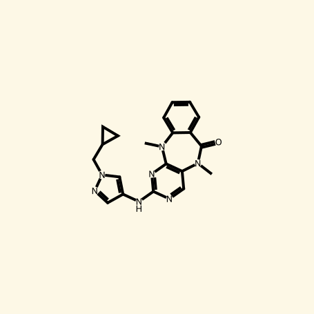 CN1C(=O)c2ccccc2N(C)c2nc(Nc3cnn(CC4CC4)c3)ncc21